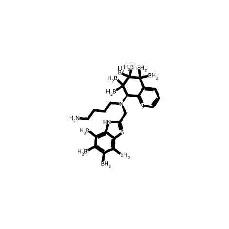 Bc1c(B)c(B)c2[nH]c(CN(CCCCN)[C@@H]3c4ncccc4C(B)(B)C(B)(B)C3(B)B)nc2c1B